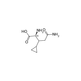 NC(=O)CC(C1CC1)[C@H](N)C(=O)O